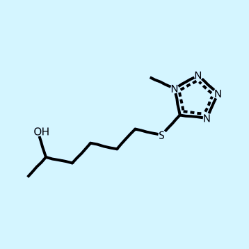 CC(O)CCCCSc1nnnn1C